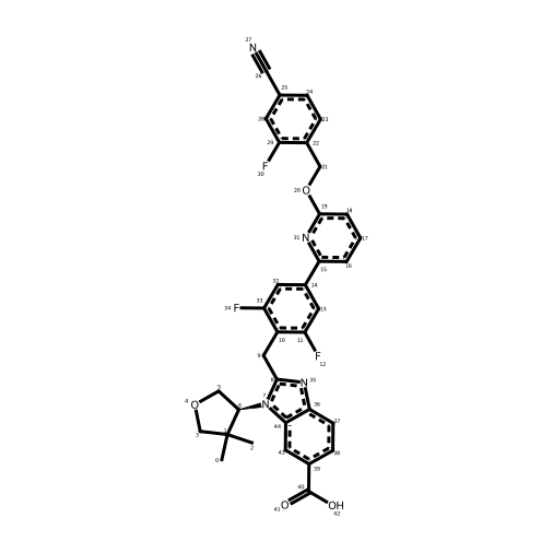 CC1(C)COC[C@H]1n1c(Cc2c(F)cc(-c3cccc(OCc4ccc(C#N)cc4F)n3)cc2F)nc2ccc(C(=O)O)cc21